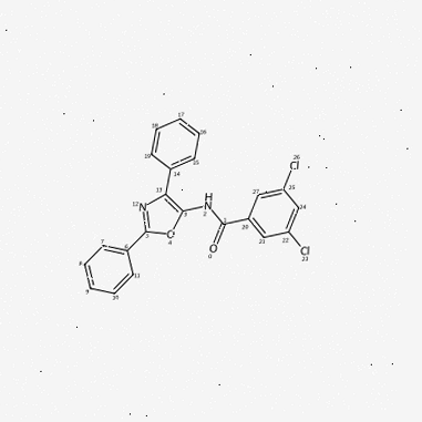 O=C(Nc1oc(-c2ccccc2)nc1-c1ccccc1)c1cc(Cl)cc(Cl)c1